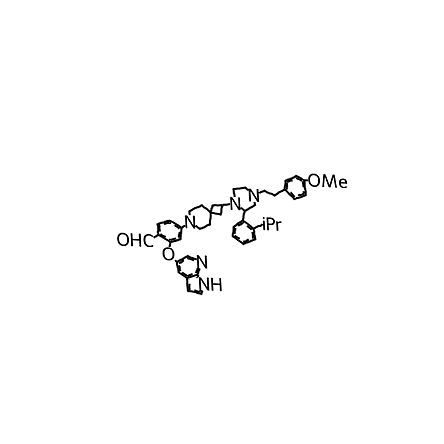 COc1ccc(CCN2CCN(C3CC4(CCN(c5ccc(C=O)c(Oc6cnc7[nH]ccc7c6)c5)CC4)C3)C(c3ccccc3C(C)C)C2)cc1